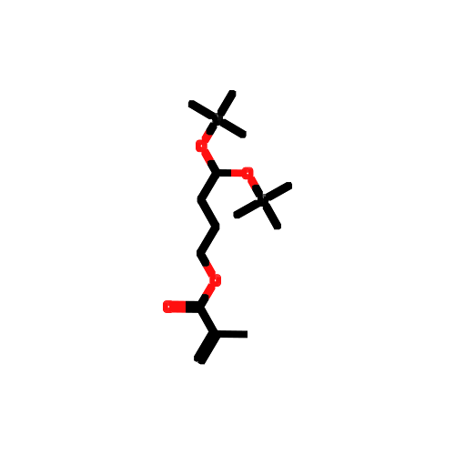 C=C(C)C(=O)OCCC[C](O[Si](C)(C)C)O[Si](C)(C)C